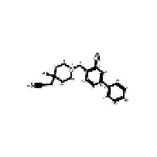 N#CCC1(I)CCN(Cc2ccc(-c3ccccc3)cc2O)CC1